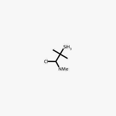 CNC(Cl)C(C)(C)[SiH3]